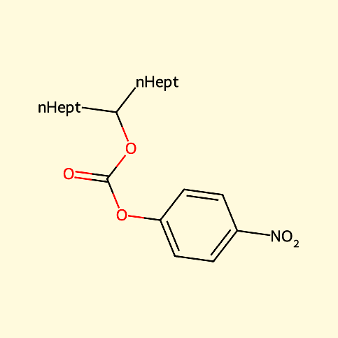 CCCCCCCC(CCCCCCC)OC(=O)Oc1ccc([N+](=O)[O-])cc1